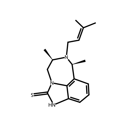 CC(C)=CCN1[C@H](C)Cn2c(=S)[nH]c3cccc(c32)[C@@H]1C